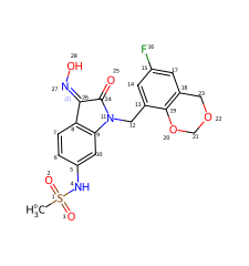 CS(=O)(=O)Nc1ccc2c(c1)N(Cc1cc(F)cc3c1OCOC3)C(=O)/C2=N\O